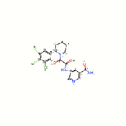 NC(=O)c1cncc(NC(=O)C(=O)N2CCCC[C@H]2c2cc(F)c(F)c(Cl)c2)c1